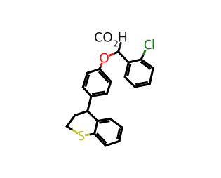 O=C(O)C(Oc1ccc(C2CCSc3ccccc32)cc1)c1ccccc1Cl